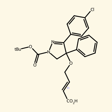 CC(C)(C)OC(=O)N1CC(OC/C=C/C(=O)O)(c2ccccc2)C(c2ccc(Cl)cc2)=N1